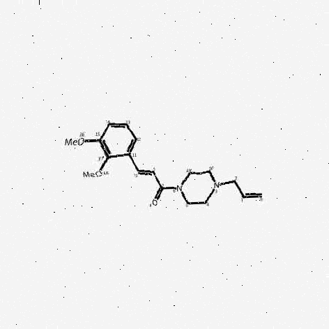 C=CCN1CCN(C(=O)C=Cc2cccc(OC)c2OC)CC1